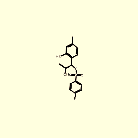 Cc1ccc(S(=O)(=O)OC(c2ccc(C)cc2S)C(C)O)cc1